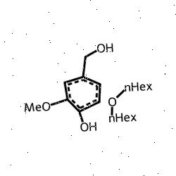 CCCCCCOCCCCCC.COc1cc(CO)ccc1O